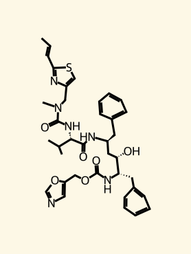 CC=Cc1nc(CN(C)C(=O)N[C@H](C(=O)N[C@@H](Cc2ccccc2)C[C@H](O)[C@H](Cc2ccccc2)NC(=O)OCc2cnco2)C(C)C)cs1